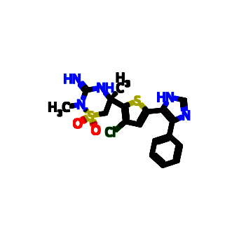 CN1C(=N)N[C@](C)(c2sc(-c3[nH]cnc3-c3ccccc3)cc2Cl)CS1(=O)=O